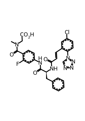 CN(CC(=O)O)C(=O)c1ccc(NC(=O)[C@H](Cc2ccccc2)NC(=O)/C=C/c2cc(Cl)ccc2-n2cnnn2)cc1F